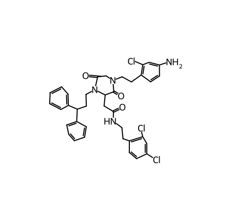 Nc1ccc(CCN2CC(=O)N(CCC(c3ccccc3)c3ccccc3)C(CC(=O)NCCc3ccc(Cl)cc3Cl)C2=O)c(Cl)c1